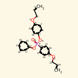 C=CCOc1ccc(OP(=O)(Oc2ccccc2)c2ccc(OCC=C)cc2)cc1